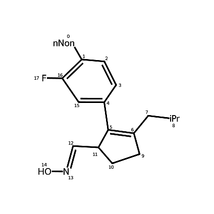 CCCCCCCCCc1ccc(C2=C(CC(C)C)CCC2C=NO)cc1F